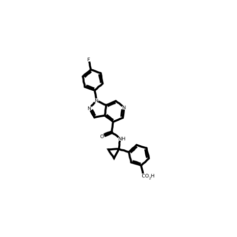 O=C(O)c1cccc(C2(NC(=O)c3cncc4c3cnn4-c3ccc(F)cc3)CC2)c1